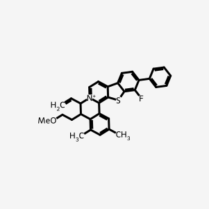 C=CC1C(CCOC)c2c(C)cc(C)cc2-c2c3sc4c(F)c(-c5ccccc5)ccc4c3cc[n+]21